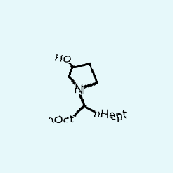 CCCCCCCCC(CCCCCCC)N1CCC(O)C1